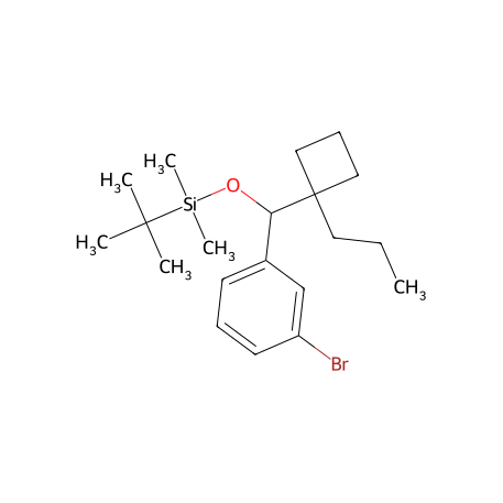 CCCC1(C(O[Si](C)(C)C(C)(C)C)c2cccc(Br)c2)CCC1